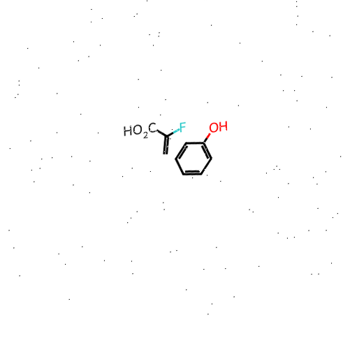 C=C(F)C(=O)O.Oc1ccccc1